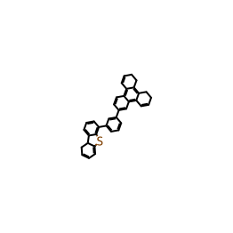 C1=CCC2C(=C1)Sc1c(-c3cccc(-c4ccc5c6c(c7c(c5c4)C=CCC7)CCC=C6)c3)cccc12